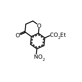 CCOC(=O)c1cc([N+](=O)[O-])cc2c1OCCC2=O